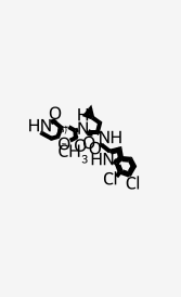 COC(=O)C(C[C@@H]1CCCNC1=O)NC(=O)C(CC1CC1)NC(=O)c1cc2ccc(Cl)c(Cl)c2[nH]1